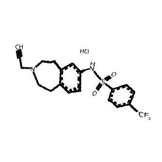 C#CCN1CCc2ccc(NS(=O)(=O)c3ccc(C(F)(F)F)cc3)cc2CC1.Cl